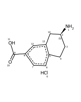 Cl.N[C@H]1CCc2ccc(C(=O)O)cc2C1